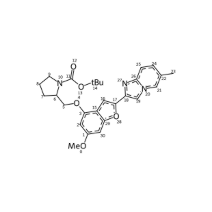 COc1cc(OCC2CCCN2C(=O)OC(C)(C)C)c2cc(-c3cn4cc(C)ccc4n3)oc2c1